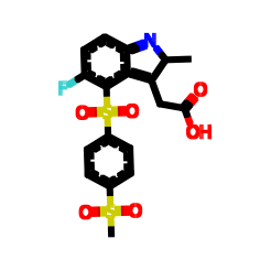 CC1N=c2ccc(F)c(S(=O)(=O)c3ccc(S(C)(=O)=O)cc3)c2=C1CC(=O)O